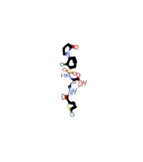 O=C(NC[C@H](NS(=O)(=O)c1cccc(N2CCCC2=O)c1Cl)C(=O)O)c1ccc(Cl)s1